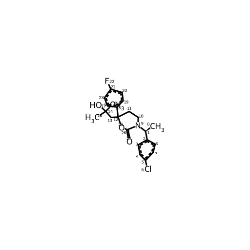 C[C@@H](c1ccc(Cl)cc1)N1CCC(CC(C)(C)O)(c2ccc(F)cc2)OC1=O